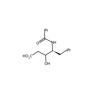 CC(C)C[C@H](NC(=O)C(C)C)C(O)CC(=O)O